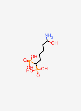 NC(O)CCCCC(P(=O)(O)O)P(=O)(O)O